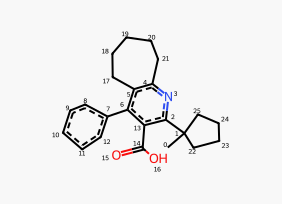 CC1(c2nc3c(c(-c4ccccc4)c2C(=O)O)CCCCC3)CCCC1